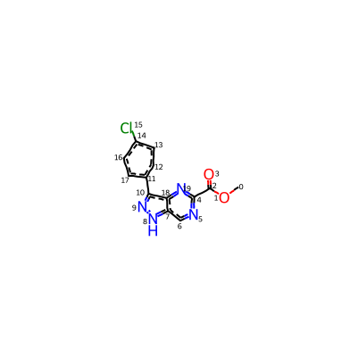 COC(=O)c1ncc2[nH]nc(-c3ccc(Cl)cc3)c2n1